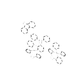 c1cc(-c2ccc3c(c2)C2(c4ccccc4Oc4ccccc42)c2ccccc2-3)cc(N(c2ccc(-c3cccc4oc5ccccc5c34)cc2)c2cccc3c2-c2ccccc2C32c3ccccc3Oc3ccccc32)c1